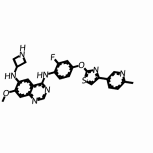 COc1cc2ncnc(Nc3ccc(Oc4nc(-c5ccc(C)nc5)cs4)cc3F)c2cc1NC1CNC1